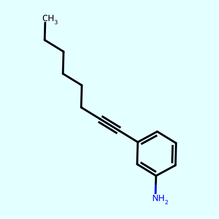 CCCCCCC#Cc1cccc(N)c1